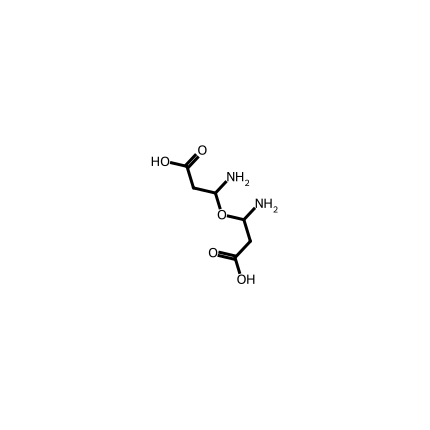 NC(CC(=O)O)OC(N)CC(=O)O